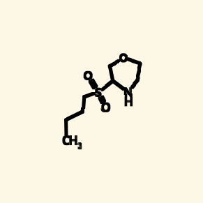 CCCCS(=O)(=O)C1COCCN1